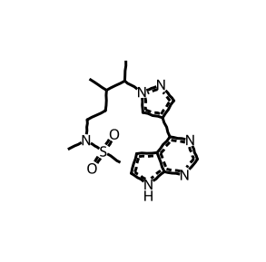 CC(CCN(C)S(C)(=O)=O)C(C)n1cc(-c2ncnc3[nH]ccc23)cn1